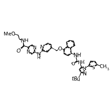 COCCNC(=O)c1cnc(Nc2cc(COc3ccc(NC(=O)Nc4cc(C(C)(C)C)nn4-c4ccc(C)s4)c4ccccc34)ccn2)cn1